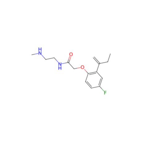 C=C(CC)c1cc(F)ccc1OCC(=O)NCCNC